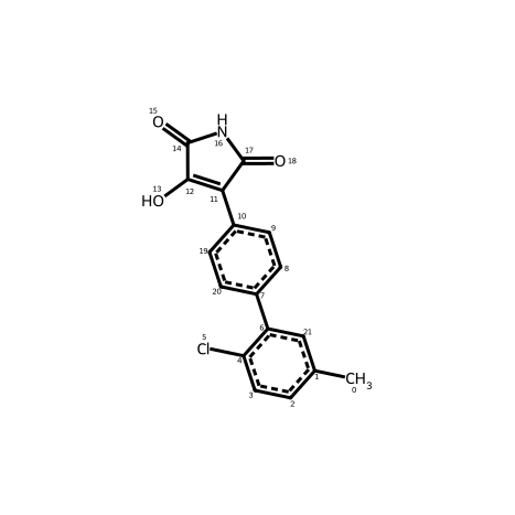 Cc1ccc(Cl)c(-c2ccc(C3=C(O)C(=O)NC3=O)cc2)c1